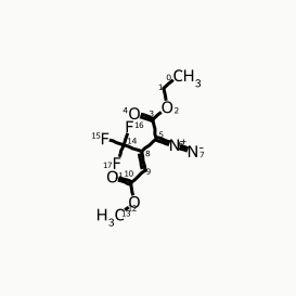 CCOC(=O)C(=[N+]=[N-])/C(=C/C(=O)OC)C(F)(F)F